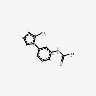 Cc1nccn1-c1cccc(NC(=O)O)c1